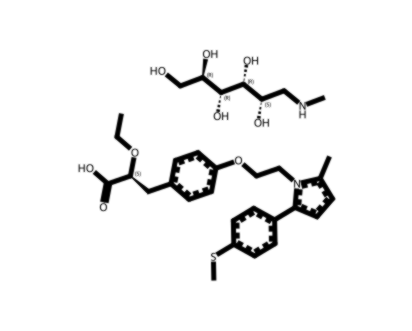 CCO[C@@H](Cc1ccc(OCCn2c(C)ccc2-c2ccc(SC)cc2)cc1)C(=O)O.CNC[C@H](O)[C@@H](O)[C@H](O)[C@H](O)CO